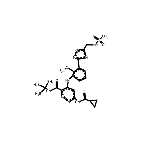 BC(B)(B)NC(=O)c1nnc(NC(=O)C2CC2)cc1Nc1cccc(-c2noc(CNS(C)(=O)=O)n2)c1OC